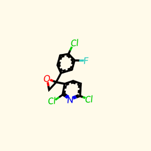 Fc1cc(C2(c3ccc(Cl)nc3Cl)CO2)ccc1Cl